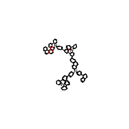 c1ccc(-c2cccc(-c3ccccc3N(c3ccc(-c4ccc(-c5cc(-c6ccc7c(ccc8cc(N(c9ccc(-c%10ccc(-c%11ccccc%11-n%11c%12ccccc%12c%12ccccc%12%11)cc%10)cc9)c9ccc(-c%10cccc%11ccccc%10%11)cc9)ccc87)c6)ccc5-n5c6ccccc6c6ccccc65)cc4)cc3)c3ccc(-c4cccc5ccccc45)cc3)c2)cc1